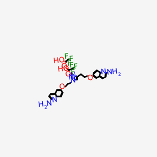 Nc1ccc2cc(OCCCc3cn(CCCOc4ccc5nc(N)ccc5c4)nn3)ccc2n1.O=C(O)C(F)(F)F.O=C(O)C(F)(F)F